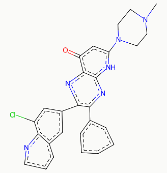 CN1CCN(c2cc(=O)c3nc(-c4cc(Cl)c5ncccc5c4)c(-c4ccccc4)nc3[nH]2)CC1